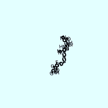 COc1cc(N2CCC(N3CCN(CC4CCN(c5cc6c(cc5F)C(=O)N(C5CCC(=O)NC5=O)C6=O)CC4)CC3)CC2)c(-c2cnn(C)c2)cc1Nc1ncc(Br)c(Nc2ccc3nccnc3c2P(C)(C)=O)n1